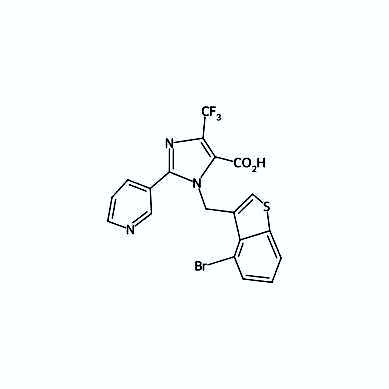 O=C(O)c1c(C(F)(F)F)nc(-c2cccnc2)n1Cc1csc2cccc(Br)c12